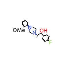 COc1ccccc1N1CCN(C(C)C(O)c2ccc(F)cc2)CC1